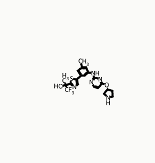 Cc1cc(Nc2nccc(O[C@@H]3CCNC3)n2)cc(-c2cnc(C(C)(O)C(F)(F)F)s2)c1